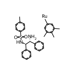 Cc1cc(C)c(C)c(C)c1.Cc1ccc(S(=O)(=O)N[C@H](c2ccccc2)[C@H](N)c2ccccc2)cc1.[Ru]